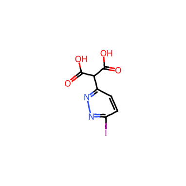 O=C(O)C(C(=O)O)c1ccc(I)nn1